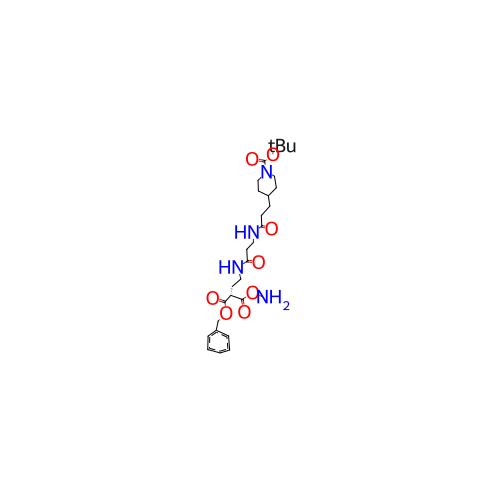 CC(C)(C)OC(=O)N1CCC(CCC(=O)NCCC(=O)NCC[C@H](C(=O)ON)C(=O)OCc2ccccc2)CC1